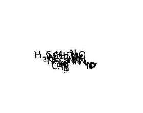 Cc1ncc(C(=O)NCCN2CCCC2)cc1NC(=O)c1cnn2cc(-c3c(C)nn(C)c3C)sc12